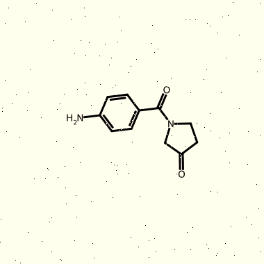 Nc1ccc(C(=O)N2CCC(=O)C2)cc1